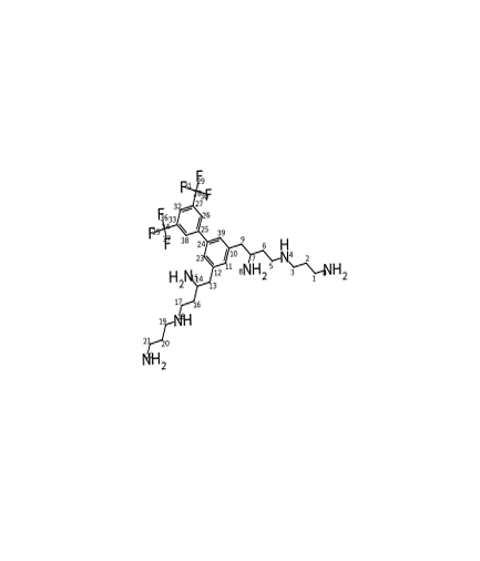 NCCCNCCC(N)Cc1cc(CC(N)CCNCCCN)cc(-c2cc(C(F)(F)F)cc(C(F)(F)F)c2)c1